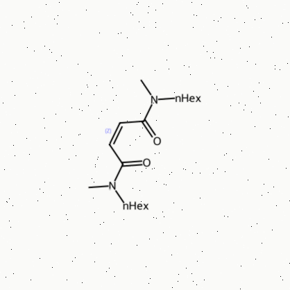 CCCCCCN(C)C(=O)/C=C\C(=O)N(C)CCCCCC